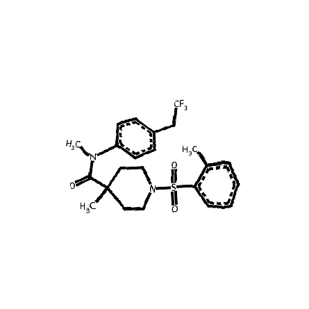 Cc1ccccc1S(=O)(=O)N1CCC(C)(C(=O)N(C)c2ccc(CC(F)(F)F)cc2)CC1